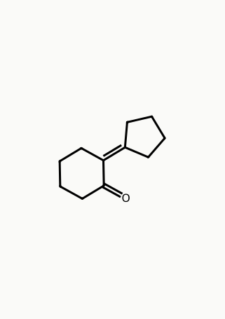 O=C1CCCCC1=C1CCCC1